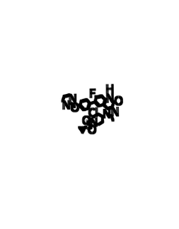 Cc1nc2c(=O)[nH]c3cc(F)c(-c4ccc(Oc5ncccn5)cc4Cl)cc3c2n1C1CCN(S(=O)(=O)C2CC2)CC1